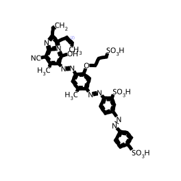 C=Cc1nc2c(C#N)c(C)c(N=Nc3cc(C)c(N=Nc4ccc(N=Nc5ccc(S(=O)(=O)O)cc5)cc4S(=O)(=O)O)cc3OCCCS(=O)(=O)O)c(O)n2c1/C=C\C